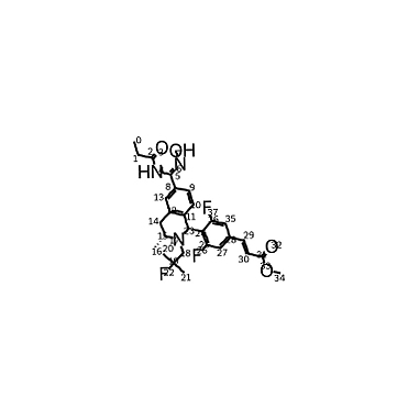 CCC(=O)N/C(=N\O)c1ccc2c(c1)C[C@@H](C)N(CC(C)(C)F)[C@@H]2c1c(F)cc(/C=C/C(=O)OC)cc1F